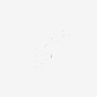 O=C(O)c1ccc(C#Cc2cccc3c4ccccc4c4ccccc4c23)cc1